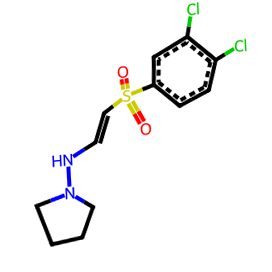 O=S(=O)(C=CNN1CCCC1)c1ccc(Cl)c(Cl)c1